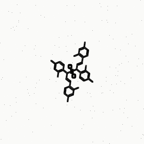 Cc1ccc(C=CC(c2ccc(C)cc2C)S(=O)(=O)C(C=Cc2ccc(C)cc2C)c2ccc(C)cc2C)c(C)c1